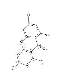 O=[PH](c1c(Cl)cc(Cl)cc1Cl)c1c(Cl)cc(Cl)cc1Cl